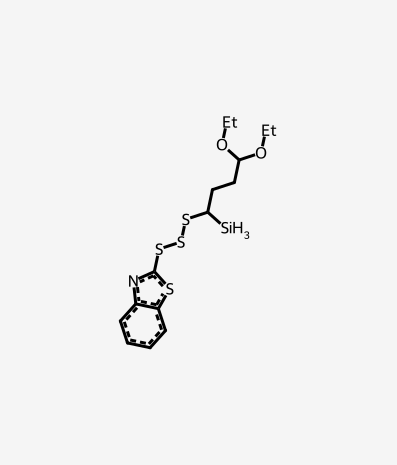 CCOC(CCC([SiH3])SSSc1nc2ccccc2s1)OCC